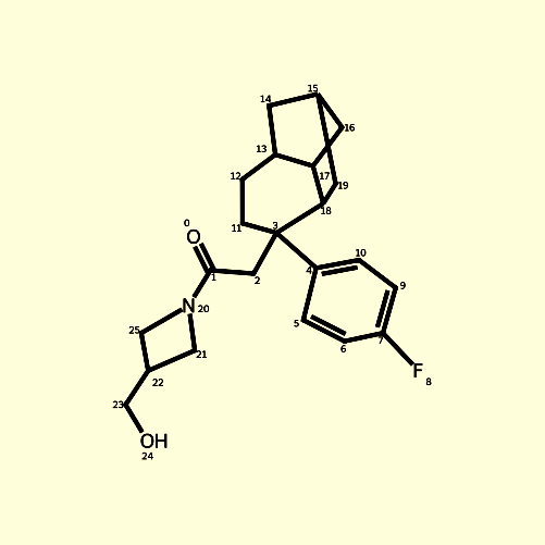 O=C(CC1(c2ccc(F)cc2)CCC2CC3CC2C1C3)N1CC(CO)C1